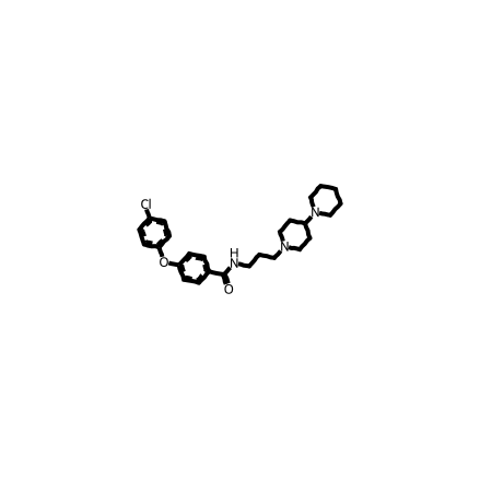 O=C(NCCCN1CCC(N2CCCCC2)CC1)c1ccc(Oc2ccc(Cl)cc2)cc1